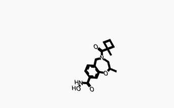 CC1CN(C(=O)C2(C)CCC2)Cc2ccc(C(=O)NO)cc2O1